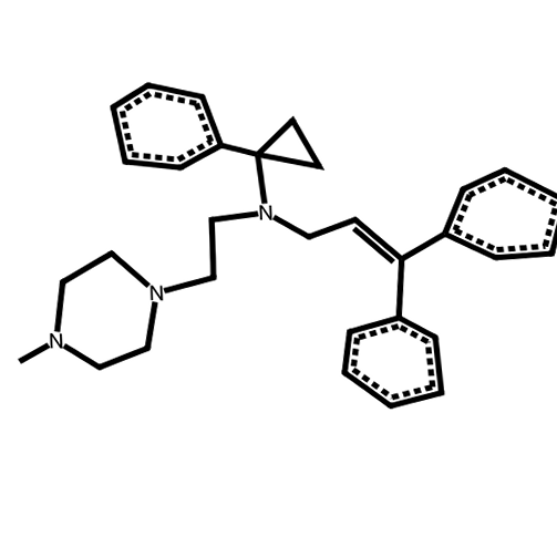 CN1CCN(CCN(CC=C(c2ccccc2)c2ccccc2)C2(c3ccccc3)CC2)CC1